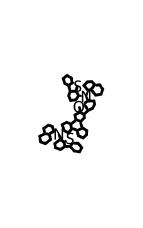 c1ccc2c(N(c3ccc4c(c3)c3ccccc3c3cc5c(cc43)oc3c(N(c4cccc6ccccc46)c4cccc6c4sc4ccccc46)cccc35)c3cccc4c3sc3ccccc34)cccc2c1